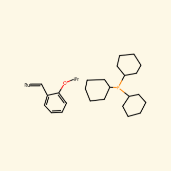 C1CCC(P(C2CCCCC2)C2CCCCC2)CC1.CC(C)Oc1ccccc1[CH]=[Ru]